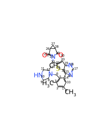 Cc1cc(C)c(CN2CCNC[C@@H]2C)c(-c2ncnc3cc(CN4C(=O)C5CC5C4=O)sc23)c1